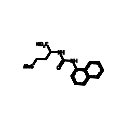 CSCCC(NC(=O)Nc1cccc2ccccc12)C(=O)O